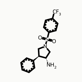 N[C@H]1CN(S(=O)(=O)c2ccc(C(F)(F)F)cc2)C[C@@H]1c1ccccc1